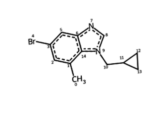 Cc1cc(Br)cc2ncn(CC3CC3)c12